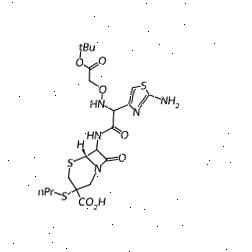 CCCSC1(C(=O)O)CS[C@@H]2C(NC(=O)C(NOCC(=O)OC(C)(C)C)c3csc(N)n3)C(=O)N2C1